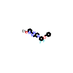 CCOc1cccc(-c2ncc3c(n2)CCN(c2cc(F)c(F)c(OCc4ccccc4)c2)C3)n1